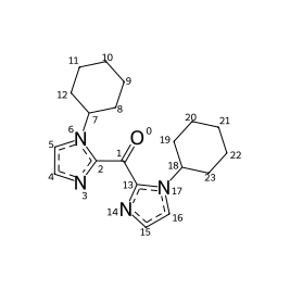 O=C(c1nccn1C1CCCCC1)c1nccn1C1CCCCC1